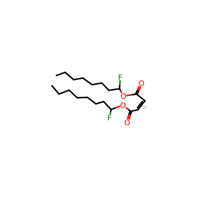 CCCCCCCC(F)OC(=O)/C=C\C(=O)OC(F)CCCCCCC